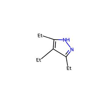 CCc1n[nH]c(CC)c1CC